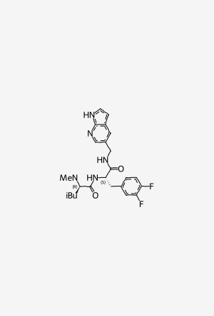 CCC(C)[C@@H](NC)C(=O)N[C@@H](Cc1ccc(F)c(F)c1)C(=O)NCc1cnc2[nH]ccc2c1